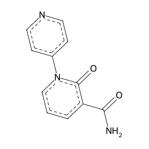 NC(=O)c1cccn(-c2ccncc2)c1=O